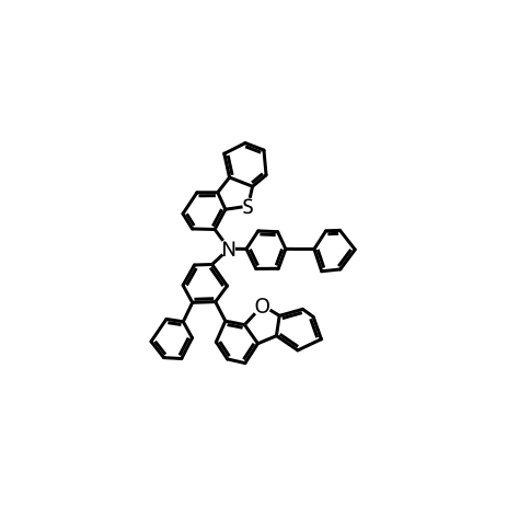 c1ccc(-c2ccc(N(c3ccc(-c4ccccc4)c(-c4cccc5c4oc4ccccc45)c3)c3cccc4c3sc3ccccc34)cc2)cc1